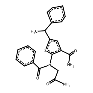 CC(c1ccccc1)c1cc(C(N)=O)c(N(CC(N)=O)C(=O)c2ccccc2)s1